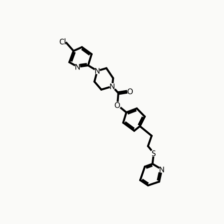 O=C(Oc1ccc(CCSc2ccccn2)cc1)N1CCN(c2ccc(Cl)cn2)CC1